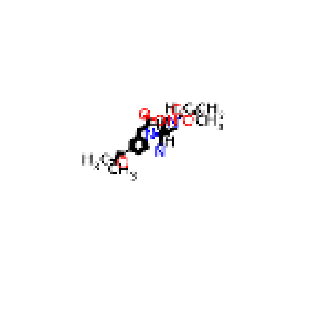 CC(C)(C)OC(=O)N1C[C@@H]2[C@H](C1)C2(C#N)n1c(C(=O)O)cc2cc([C@@H]3CC(C)(C)O3)ccc21